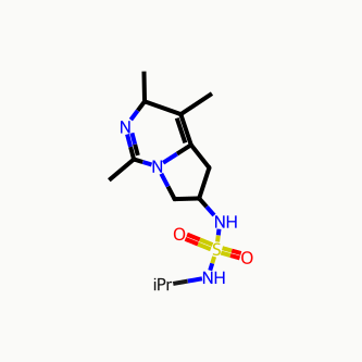 CC1=NC(C)C(C)=C2CC(NS(=O)(=O)NC(C)C)CN12